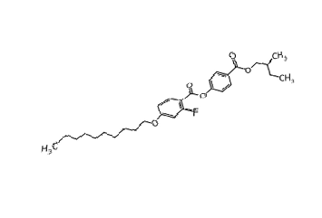 CCCCCCCCCCOc1ccc(C(=O)Oc2ccc(C(=O)OC[C@@H](C)CC)cc2)c(F)c1